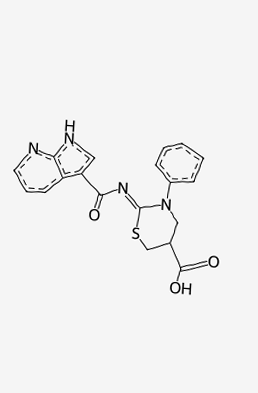 O=C(/N=C1\SCC(C(=O)O)CN1c1ccccc1)c1c[nH]c2ncccc12